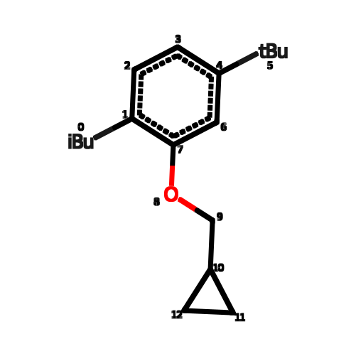 CCC(C)c1ccc(C(C)(C)C)cc1OCC1CC1